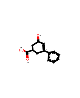 O=C1C=C(c2ccccc2)CC(C(=O)O)C1